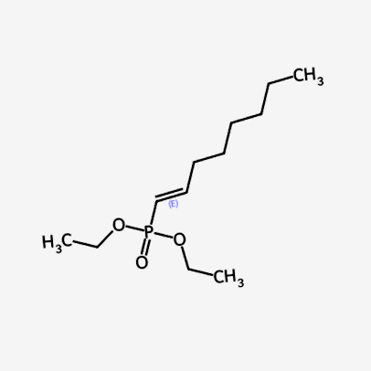 CCCCCC/C=C/P(=O)(OCC)OCC